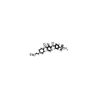 CCOCCN1CCC(Oc2ncnc(Nc3ccc(S(C)(=O)=O)cc3)c2[N+](=O)[O-])CC1